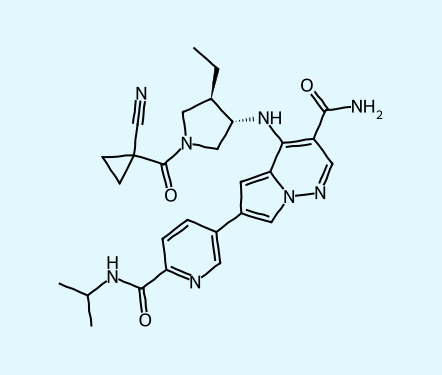 CC[C@@H]1CN(C(=O)C2(C#N)CC2)C[C@H]1Nc1c(C(N)=O)cnn2cc(-c3ccc(C(=O)NC(C)C)nc3)cc12